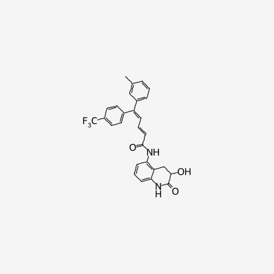 Cc1cccc(/C(=C/C=C/C(=O)Nc2cccc3c2CC(O)C(=O)N3)c2ccc(C(F)(F)F)cc2)c1